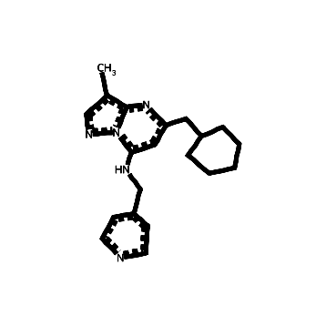 Cc1cnn2c(NCc3ccncc3)cc(CC3CCCCC3)nc12